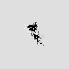 CCOc1ccc(C(=O)Nc2cc3c(c(C(F)(F)F)c2)CCNC3)cc1Cl